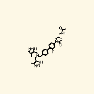 CC(=O)NC[C@H]1CN(c2ccc(-c3ccc(CN(Cc4[nH]nnc4C)Cc4[nH]nnc4C)cc3)c(F)c2)C(=O)O1